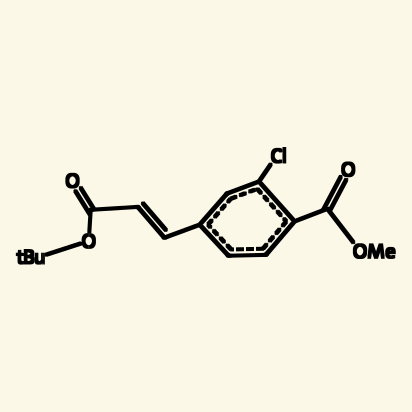 COC(=O)c1ccc(C=CC(=O)OC(C)(C)C)cc1Cl